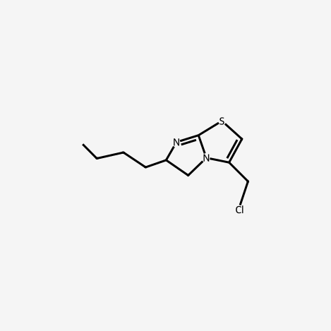 CCCCC1CN2C(CCl)=CSC2=N1